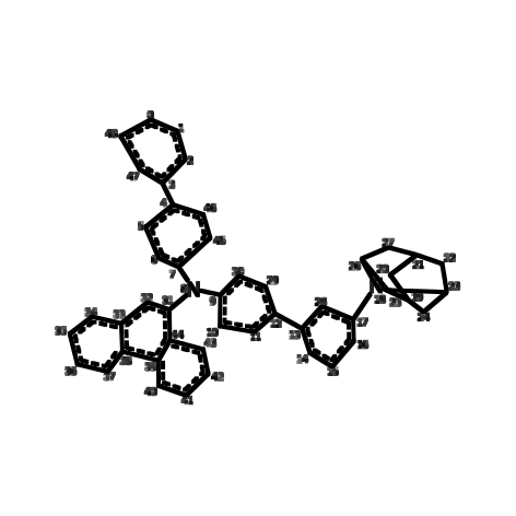 c1ccc(-c2ccc(N(c3ccc(-c4cccc(N5C6CC7CC(C6)CC5C7)c4)cc3)c3cc4ccccc4c4ccccc34)cc2)cc1